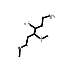 CNCCC(NC)C(N)CCN